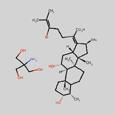 CC(=O)O[C@H]1C[C@@]2(C)[C@H](C[C@@H](O)[C@@H]3[C@@]4(C)CC[C@@H](O)[C@@H](C)C4CC[C@@]32C)C1=C(CCC(Br)=C(C)C)C(=O)O.NC(CO)(CO)CO